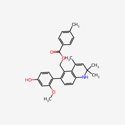 COc1cc(O)ccc1-c1ccc2c(c1COC(=O)c1ccc(C)cc1)C(C)=CC(C)(C)N2